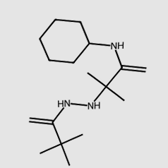 C=C(NNC(C)(C)C(=C)NC1CCCCC1)C(C)(C)C